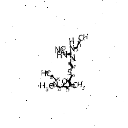 C#CCN/C(=N/CCSCc1oc(CN(C)CC#C)cc1C)NC#N